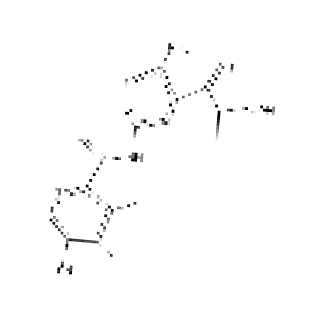 COC(C)C(=N)c1cc(NC(=O)c2ncc(C#N)c(C)c2C)ccc1N